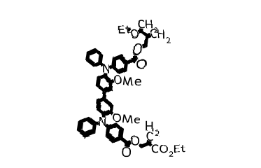 C=C(COC(=O)c1ccc(N(c2ccccc2)c2ccc(-c3ccc(N(c4ccccc4)c4ccc(C(=O)OCC(=C)C(=O)OCC)cc4)c(OC)c3)cc2OC)cc1)C(=C)OCC